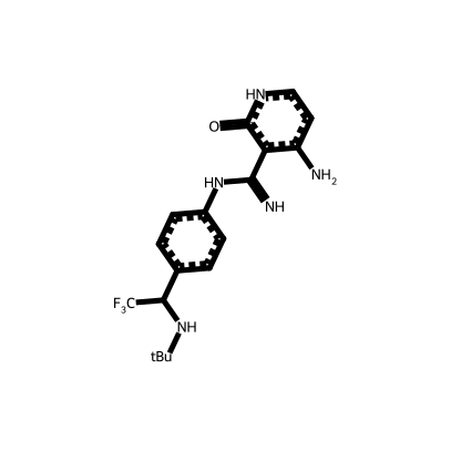 CC(C)(C)NC(c1ccc(NC(=N)c2c(N)cc[nH]c2=O)cc1)C(F)(F)F